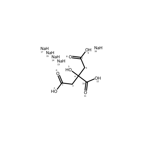 O=C(O)CC(O)(CC(=O)O)C(=O)O.[NaH].[NaH].[NaH].[NaH].[NaH]